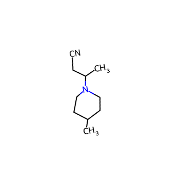 CC1CCN(C(C)CC#N)CC1